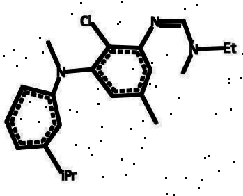 CCN(C)/C=N\c1cc(C)cc(N(C)c2cccc(C(C)C)c2)c1Cl